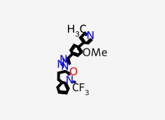 COc1cc(-c2cn(C3CCC4CC=CC=C4N(CC(F)(F)F)C3=O)nn2)ccc1-c1ccnc(C)c1